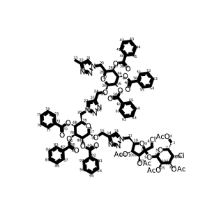 CC(=O)OC[C@H]1OC(OC2(CCl)O[C@H](Cn3cc(CO[C@H]4O[C@H](Cn5cc(CO[C@H]6OC(Cn7cc(C)nn7)[C@@H](OC(=O)c7ccccc7)[C@H](OC(=O)c7ccccc7)[C@@H]6OC(=O)c6ccccc6)nn5)[C@@H](OC(=O)c5ccccc5)[C@H](OC(=O)c5ccccc5)[C@@H]4OC(=O)c4ccccc4)nn3)[C@@H](OC(C)=O)[C@@H]2OC(C)=O)[C@H](OC(C)=O)[C@@H](OC(C)=O)[C@H]1Cl